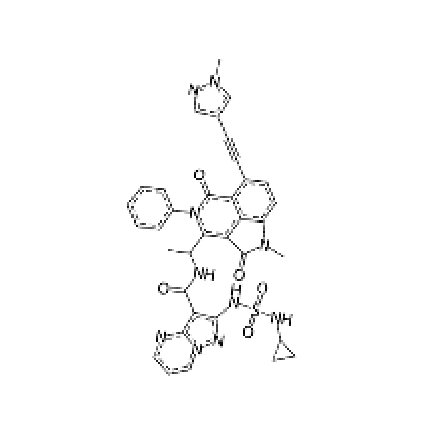 CC(NC(=O)c1c(NS(=O)(=O)NC2CC2)nn2cccnc12)c1c2c3c(ccc(C#Cc4cnn(C)c4)c3c(=O)n1-c1ccccc1)N(C)C2=O